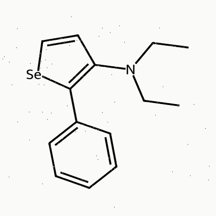 CCN(CC)c1cc[se]c1-c1ccccc1